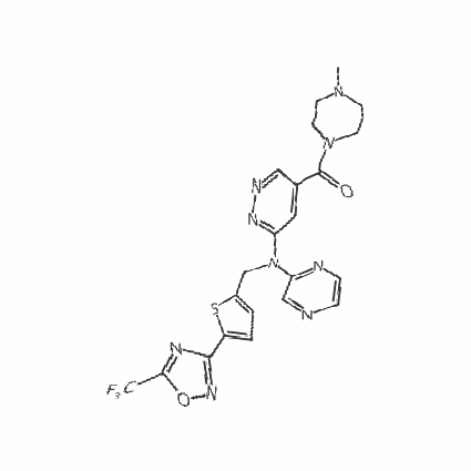 CN1CCN(C(=O)c2cnnc(N(Cc3ccc(-c4noc(C(F)(F)F)n4)s3)c3cnccn3)c2)CC1